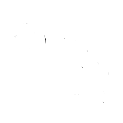 Cc1cnn(C)c1-c1c(C)nc(Nc2cc([C@@H]3CC[C@H](OC(=O)NC4(C)CC4)[C@H]3F)[nH]n2)n2ccnc12